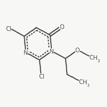 CCC(OC)n1c(Cl)nc(Cl)cc1=O